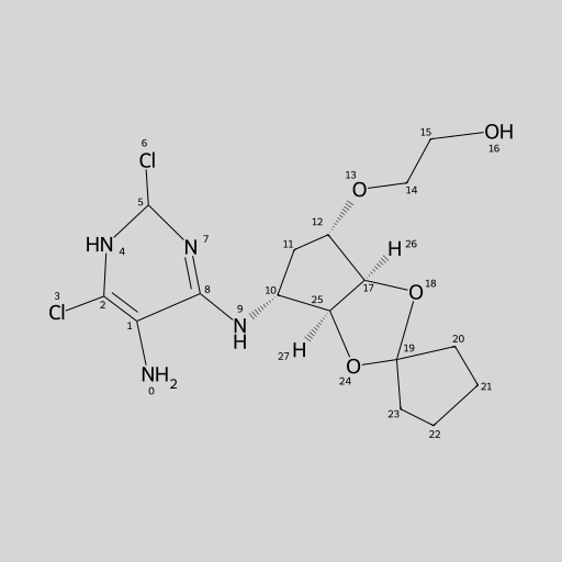 NC1=C(Cl)NC(Cl)N=C1N[C@@H]1C[C@H](OCCO)[C@H]2OC3(CCCC3)O[C@H]21